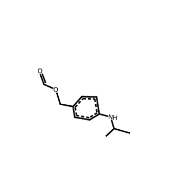 CC(C)Nc1ccc(COC=O)cc1